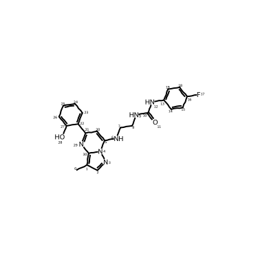 Cc1cnn2c(NCCNC(=O)Nc3ccc(F)cc3)cc(-c3ccccc3O)nc12